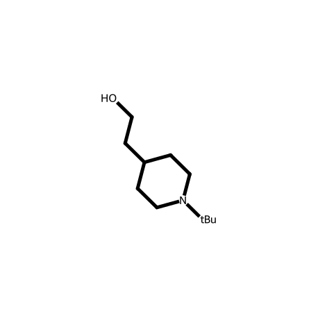 CC(C)(C)N1CCC(CCO)CC1